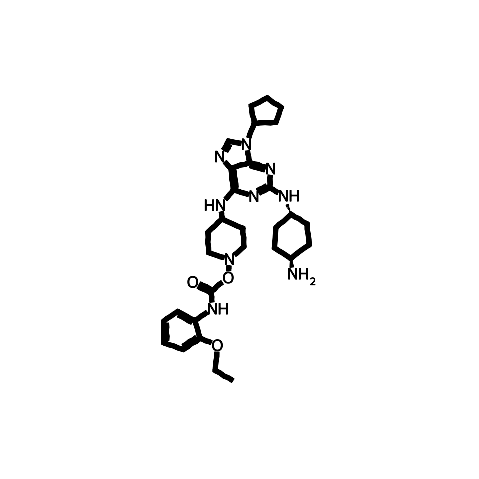 CCOc1ccccc1NC(=O)ON1CCC(Nc2nc(N[C@H]3CC[C@H](N)CC3)nc3c2ncn3C2CCCC2)CC1